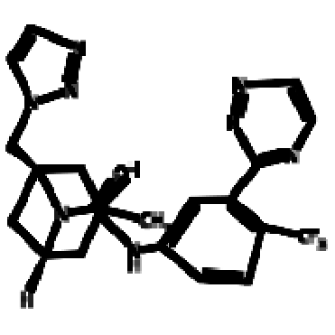 C[C@@H]1C[C@@H]2C[C@](Cn3ccnn3)(C1)N2C(=O)Nc1ccc(C(F)(F)F)c(-c2nccnn2)c1